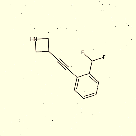 FC(F)c1ccccc1C#CC1CNC1